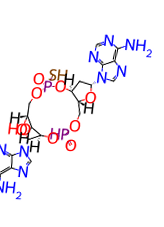 Nc1ncnc2c1ncn2[C@@H]1O[C@@H]2COP(=O)(S)O[C@H]3C[C@H](n4cnc5c(N)ncnc54)O[C@@H]3CO[PH](=O)O[C@@H]1[C@@H]2O